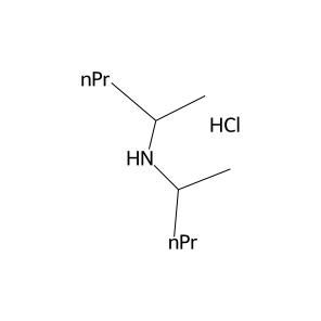 CCCC(C)NC(C)CCC.Cl